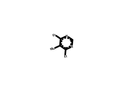 CCc1ncnc(CC)c1C(C)(C)C